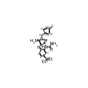 CC[N+](CC)=C1C=C/C(=N/c2cnn(Cc3ccc(C)cc3)c2N)C(NC(N)=O)=C1